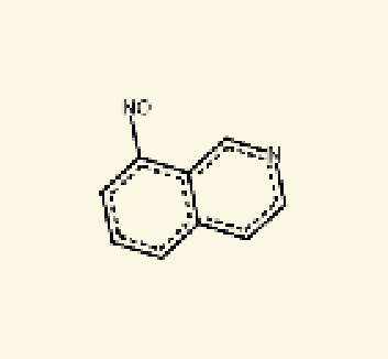 O=Nc1cccc2ccncc12